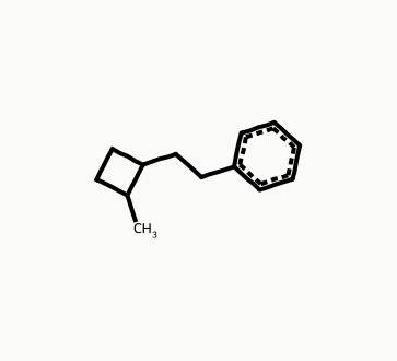 CC1CCC1CCc1ccccc1